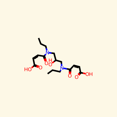 CCCN(CC(O)CN(CCC)C(=O)/C=C\C(=O)O)C(=O)/C=C\C(=O)O